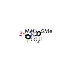 COc1ccc(CNc2cc(Br)cc(F)c2C(=O)O)c(OC)c1